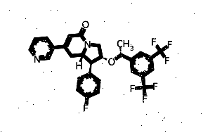 C[C@@H](O[C@H]1CN2C(=O)C=C(c3cccnc3)C[C@H]2[C@@H]1c1ccc(F)cc1)c1cc(C(F)(F)F)cc(C(F)(F)F)c1